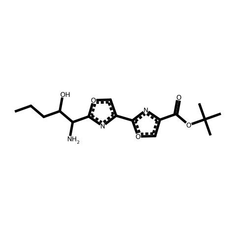 CCCC(O)C(N)c1nc(-c2nc(C(=O)OC(C)(C)C)co2)co1